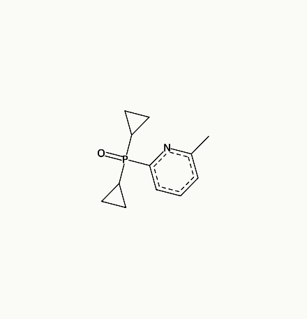 Cc1cccc(P(=O)(C2CC2)C2CC2)n1